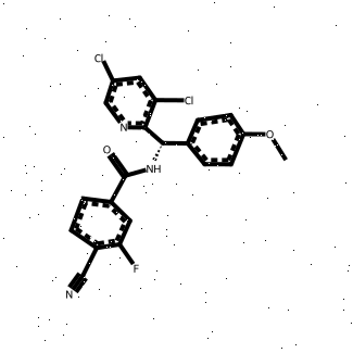 COc1ccc([C@H](NC(=O)c2ccc(C#N)c(F)c2)c2ncc(Cl)cc2Cl)cc1